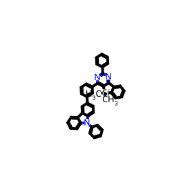 C[Si]1(C)c2ccccc2-c2nc(-c3ccccc3)nc(-c3cccc(-c4ccc5c(c4)c4ccccc4n5-c4ccccc4)c3)c21